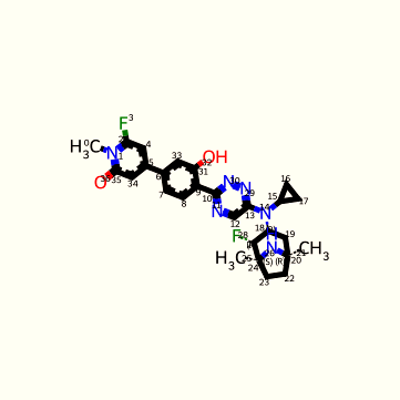 Cn1c(F)cc(-c2ccc(-c3ncc(N(C4CC4)[C@@H]4C[C@@]5(C)CC[C@](C)(N5)[C@@H]4F)nn3)c(O)c2)cc1=O